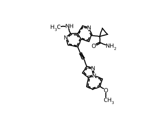 CNc1ncc(C#Cc2cc3ccc(OC)cn3n2)c2cc(C3(C(N)=O)CC3)ncc12